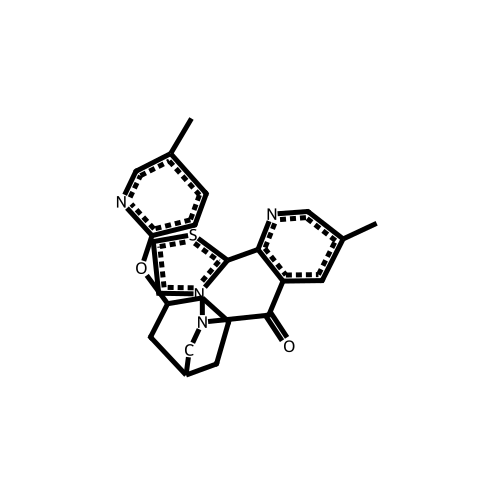 Cc1ccc(OC2CC3CCC2N(C(=O)c2cc(C)cnc2-c2nccs2)C3)nc1